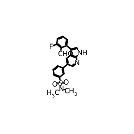 CN(C)S(=O)(=O)c1cccc(-c2cnc3[nH]cc(-c4cccc(F)c4C=O)c3c2)c1